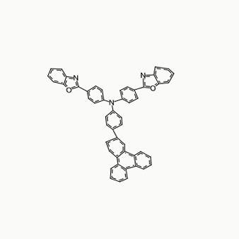 c1ccc2oc(-c3ccc(N(c4ccc(-c5ccc6c7ccccc7c7ccccc7c6c5)cc4)c4ccc(-c5nc6ccccc6o5)cc4)cc3)nc2c1